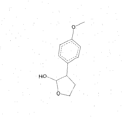 COc1ccc(C2CCOC2O)cc1